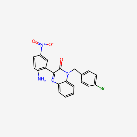 Nc1ccc([N+](=O)[O-])cc1-c1nc2ccccc2n(Cc2ccc(Br)cc2)c1=O